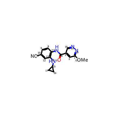 COc1cc(C(=O)Nc2ccc(C#N)cc2NC2CC2)cnn1